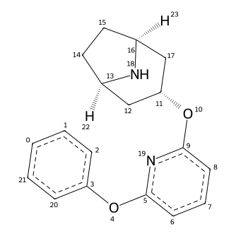 c1ccc(Oc2cccc(O[C@@H]3C[C@H]4CC[C@@H](C3)N4)n2)cc1